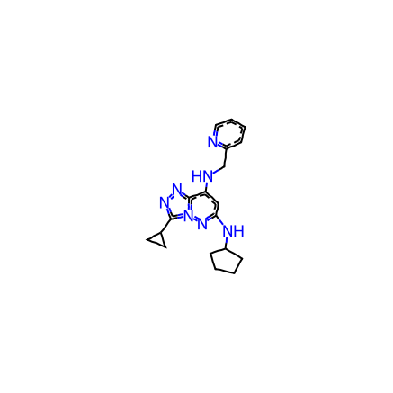 c1ccc(CNc2cc(NC3CCCC3)nn3c(C4CC4)nnc23)nc1